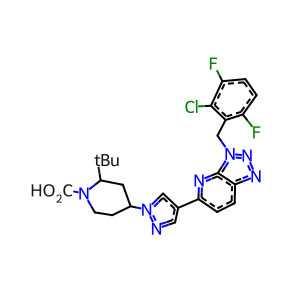 CC(C)(C)C1CC(n2cc(-c3ccc4nnn(Cc5c(F)ccc(F)c5Cl)c4n3)cn2)CCN1C(=O)O